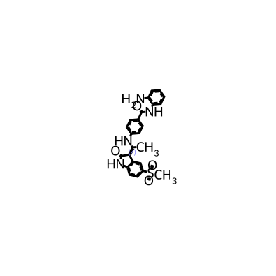 C/C(Nc1ccc(C(=O)Nc2ccccc2N)cc1)=C1/C(=O)Nc2ccc(S(C)(=O)=O)cc21